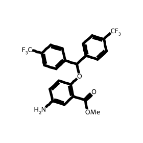 COC(=O)c1cc(N)ccc1OC(c1ccc(C(F)(F)F)cc1)c1ccc(C(F)(F)F)cc1